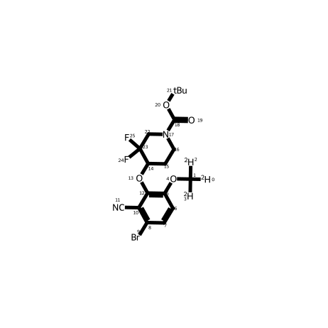 [2H]C([2H])([2H])Oc1ccc(Br)c(C#N)c1OC1CCN(C(=O)OC(C)(C)C)CC1(F)F